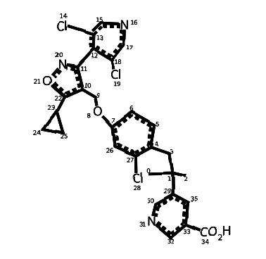 CC(C)(Cc1ccc(OCc2c(-c3c(Cl)cncc3Cl)noc2C2CC2)cc1Cl)c1cncc(C(=O)O)c1